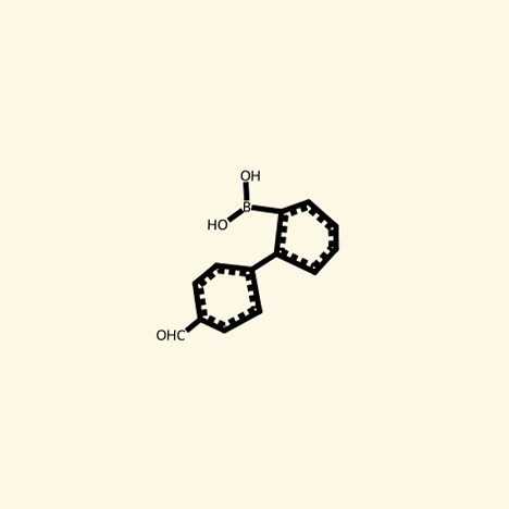 O=Cc1ccc(-c2ccccc2B(O)O)cc1